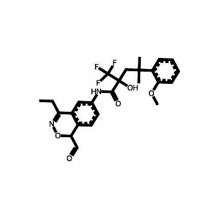 CCC1=NOC(C=O)c2ccc(NC(=O)C(O)(CC(C)(C)c3ccccc3OC)C(F)(F)F)cc21